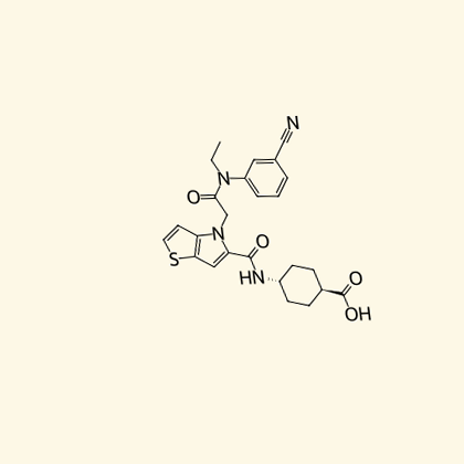 CCN(C(=O)Cn1c(C(=O)N[C@H]2CC[C@H](C(=O)O)CC2)cc2sccc21)c1cccc(C#N)c1